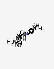 CN(C)c1ccc(/C=N/NC(=O)c2cn(-c3nonc3N)nn2)cc1